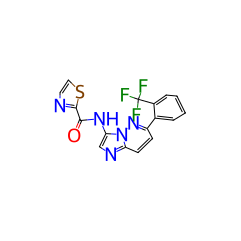 O=C(Nc1cnc2ccc(-c3ccccc3C(F)(F)F)nn12)c1nccs1